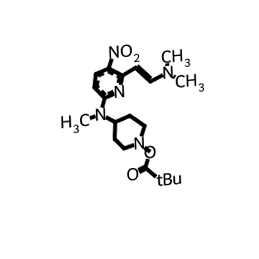 CN(C)/C=C/c1nc(N(C)C2CCN(OC(=O)C(C)(C)C)CC2)ccc1[N+](=O)[O-]